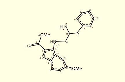 COC(=O)c1sc2ccc(OC)cc2c1NCC(N)Cc1ccccc1